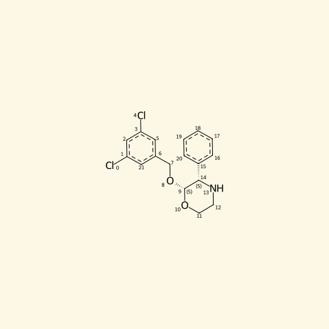 Clc1cc(Cl)cc(CO[C@H]2OCCN[C@H]2c2ccccc2)c1